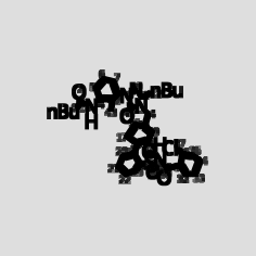 CCCCC(=O)Nc1cccc(-n2nc(CCCC)n(Cc3ccc(-c4ccccc4S(=O)(=O)NC(=O)c4ccccc4Cl)cc3)c2=O)c1C